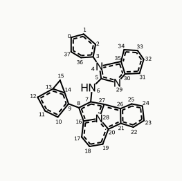 c1ccc(-n2c(Nc3c(-c4cccc5c4C5)c4cccc5c6ccccc6c3n45)nc3ccccc32)cc1